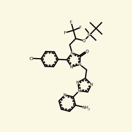 CC(C)(C)[Si](C)(C)OC(Cn1c(-c2ccc(Cl)cc2)nn(Cc2ncn(-c3ncccc3N)n2)c1=O)C(F)(F)F